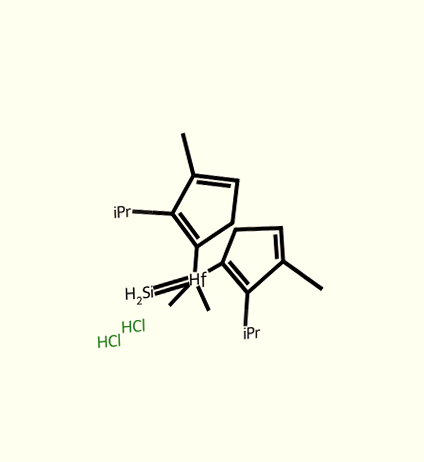 CC1=CC[C]([Hf]([CH3])([CH3])(=[SiH2])[C]2=C(C(C)C)C(C)=CC2)=C1C(C)C.Cl.Cl